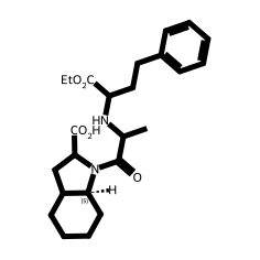 CCOC(=O)C(CCc1ccccc1)NC(C)C(=O)N1C(C(=O)O)CC2CCCC[C@@H]21